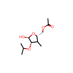 CC(=O)OC[C@H]1O[C@H](O)[C@H](OC(C)C)C1C